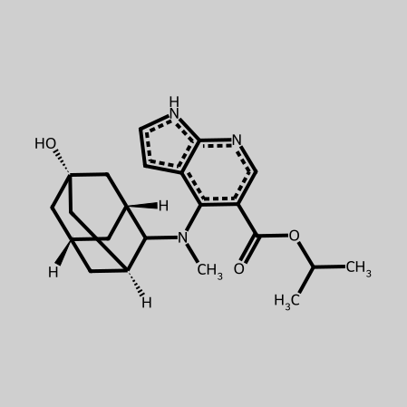 CC(C)OC(=O)c1cnc2[nH]ccc2c1N(C)C1[C@@H]2C[C@@H]3C[C@H]1C[C@@](O)(C3)C2